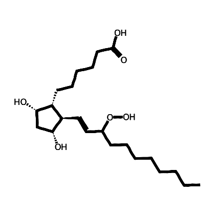 CCCCCCCCC(/C=C/[C@@H]1[C@@H](CCCCCC(=O)O)[C@@H](O)C[C@H]1O)OO